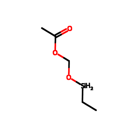 CC[SiH2]OCOC(C)=O